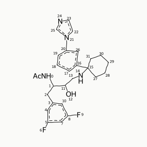 CC(=O)NC(Cc1cc(F)cc(F)c1)C(O)CNC1(c2cccc(-n3ccnc3)c2)CCCCC1